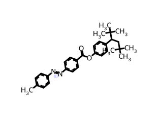 Cc1ccc(/N=N/c2ccc(C(=O)Oc3ccc(C(CC(C)(C)C)C(C)(C)C)cc3)cc2)cc1